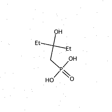 CCC(O)(CC)CP(=O)(O)O